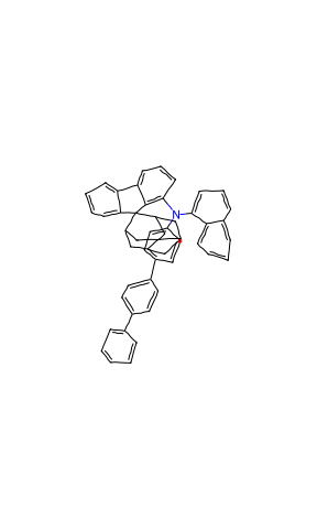 c1ccc(-c2ccc(-c3ccc(N(c4cccc5c4C4(c6ccccc6-5)C5CC6CC(C5)CC4C6)c4cccc5ccccc45)cc3)cc2)cc1